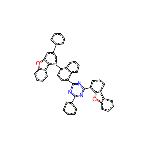 c1ccc(-c2cc(-c3ccc(-c4nc(-c5ccccc5)nc(-c5cccc6c5oc5ccccc56)n4)c4ccccc34)c3c(c2)oc2ccccc23)cc1